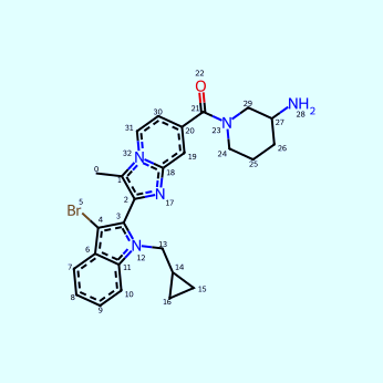 Cc1c(-c2c(Br)c3ccccc3n2CC2CC2)nc2cc(C(=O)N3CCCC(N)C3)ccn12